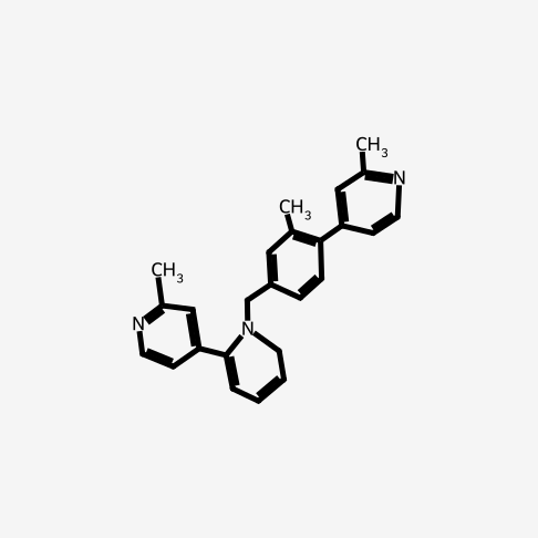 Cc1cc(C2=CC=CCN2Cc2ccc(-c3ccnc(C)c3)c(C)c2)ccn1